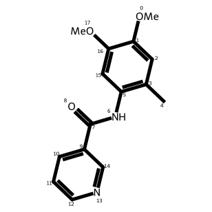 COc1cc(C)c(NC(=O)c2cccnc2)cc1OC